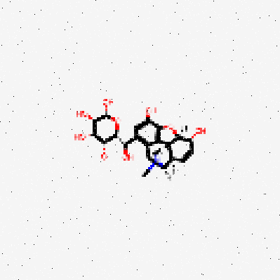 CN1CC[C@]23c4c5c(C(O)[C@H]6O[C@@H](O)[C@H](O)[C@@H](O)[C@H]6O)cc(O)c4O[C@H]2[C@@H](O)C=C[C@H]3[C@H]1C5